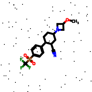 COC1CN(C2CCC(c3c[c]c(S(=O)(=O)C(F)(F)F)cc3)C(C#N)C2)C1